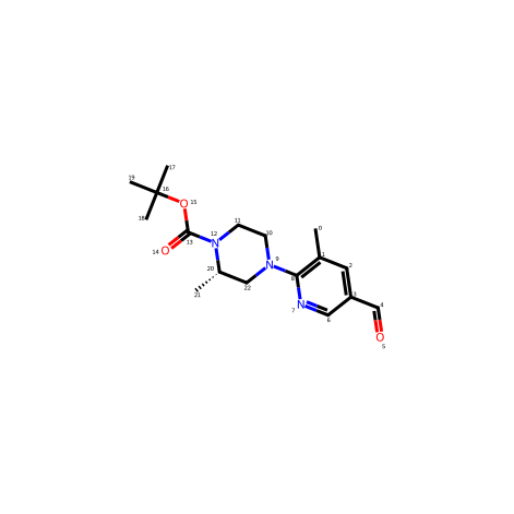 Cc1cc(C=O)cnc1N1CCN(C(=O)OC(C)(C)C)[C@@H](C)C1